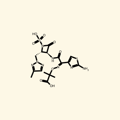 Cc1cnn(C[C@H]2[C@H](NC(=O)C(=NOC(C)(C)C(=O)O)c3csc(N)n3)C(=O)N2S(=O)(=O)O)n1